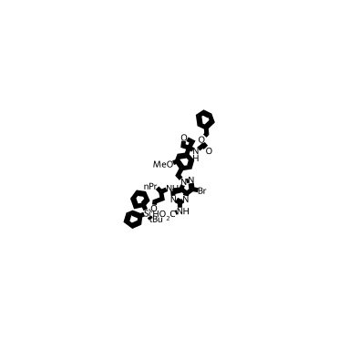 CCCC(CCO[Si](c1ccccc1)(c1ccccc1)C(C)(C)C)Nc1nc(NC(=O)O)nc2c(Br)nn(Cc3ccc(C4(NC(=O)OCc5ccccc5)COC4)cc3OC)c12